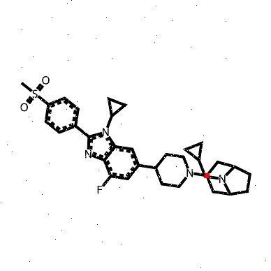 CS(=O)(=O)c1ccc(-c2nc3c(F)cc(C4CCN(C5CC6CCC(C5)N6CC5CC5)CC4)cc3n2C2CC2)cc1